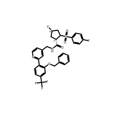 O=C(NCc1ccnc(-c2ccc(C(F)(F)F)cc2OCc2ccccc2)c1)[C@@H]1C[C@@H](F)CC1S(=O)(=O)c1ccc(F)cc1